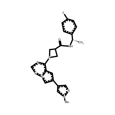 C[C@H](NC(=O)C1CN(c2ncnn3cc(-c4cnn(C(C)(C)C)c4)cc23)C1)c1ccc(F)cc1